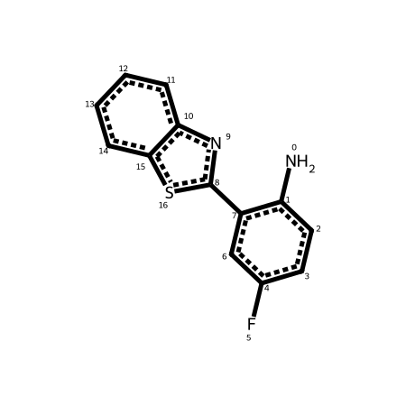 Nc1ccc(F)cc1-c1nc2ccccc2s1